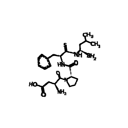 B[C@H](CC(C)C)NC(=S)[C@H](Cc1ccccc1)NC(=O)[C@@H]1CCCN1C(=O)[C@@H](N)CC(=O)O